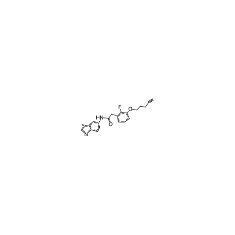 C#CCCCOc1cccc(CC(=O)Nc2ccc3ncsc3c2)c1F